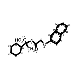 C[C@@](NC(=O)COc1ccc2ccccc2c1)(C(=O)O)C1CCCCC1